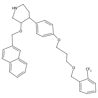 FC(F)(F)c1ccccc1COCCCOc1ccc(C2CCNCC2OCc2ccc3ccccc3c2)cc1